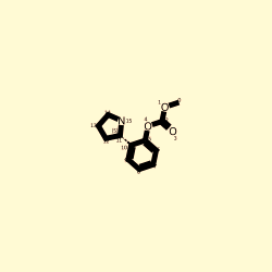 COC(=O)Oc1ccccc1[C@@H]1CCC[N]1